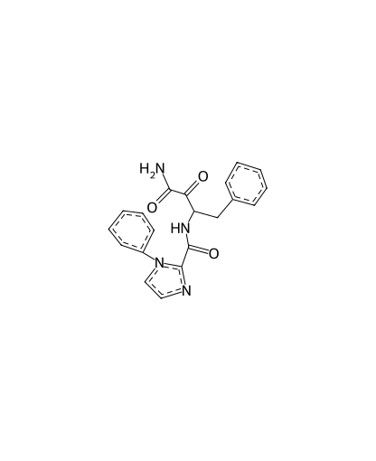 NC(=O)C(=O)C(Cc1ccccc1)NC(=O)c1nccn1-c1ccccc1